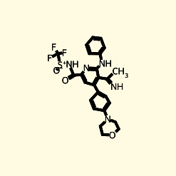 CC(=N)c1c(-c2ccc(N3CCOCC3)cc2)cc(C(=O)N[S+]([O-])C(F)(F)F)nc1Nc1ccccc1